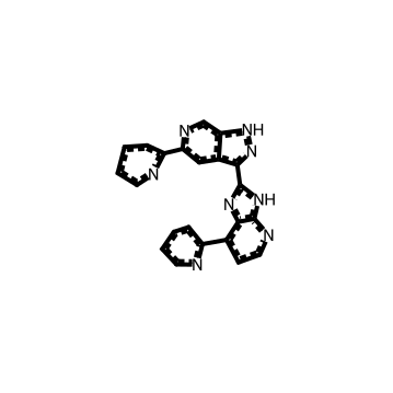 c1ccc(-c2cc3c(-c4nc5c(-c6ccccn6)ccnc5[nH]4)n[nH]c3cn2)nc1